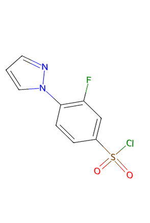 O=S(=O)(Cl)c1ccc(-n2cccn2)c(F)c1